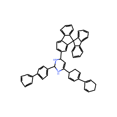 C1=CC(C2=CCC(C3=CC(c4ccc5c(c4)C4(c6ccccc6-c6ccccc64)c4ccccc4-5)NC(c4ccc(-c5ccccc5)cc4)N3)C=C2)=CCC1